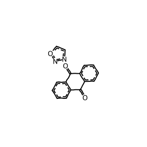 O=C1c2ccccc2C(=O)c2ccccc21.c1conn1